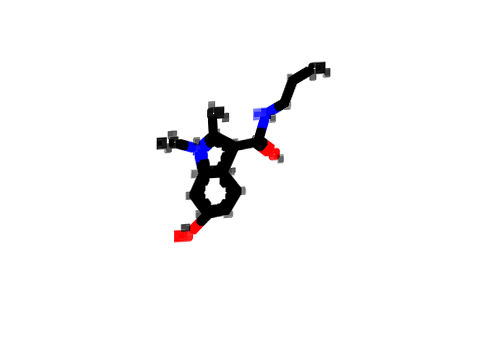 CCCNC(=O)c1c(C)n(C)c2cc(O)ccc12